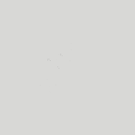 CCCS(=O)(=O)c1ccc2[nH]c(NC(=O)C3CC3c3ccccc3)nc2c1